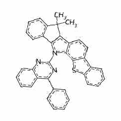 CC1(C)c2ccccc2-c2c1c1ccc3c4ccccc4sc3c1n2-c1nc(-c2ccccc2)c2ccccc2n1